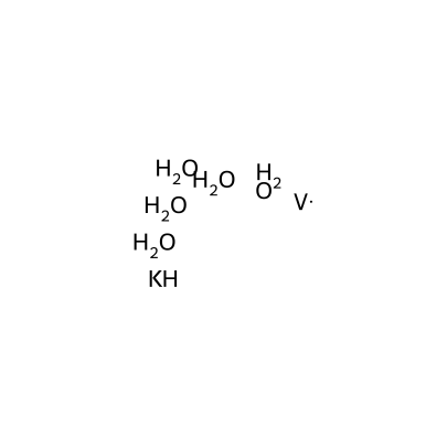 O.O.O.O.O.[KH].[V]